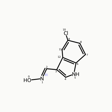 O/N=C/c1c[nH]c2ccc(Cl)cc12